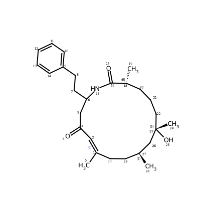 C/C1=C\C(=O)CC(CCc2ccccc2)NC(=O)[C@H](C)CCC[C@](C)(O)C[C@@H](C)CC1